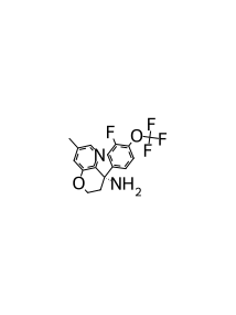 Cc1cnc2c(c1)OCC[C@]2(N)c1ccc(OC(F)(F)F)c(F)c1